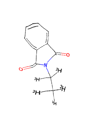 [2H]C([2H])([2H])C([2H])([2H])N1C(=O)c2ccccc2C1=O